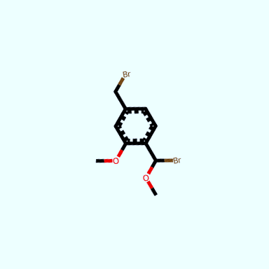 COc1cc(CBr)ccc1C(Br)OC